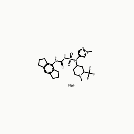 CN1CCC(N(c2cnn(C)c2)S(=O)(=O)NC(=O)Nc2c3c(cc4c2CCC4)CCC3)CC1C(F)(F)F.[NaH]